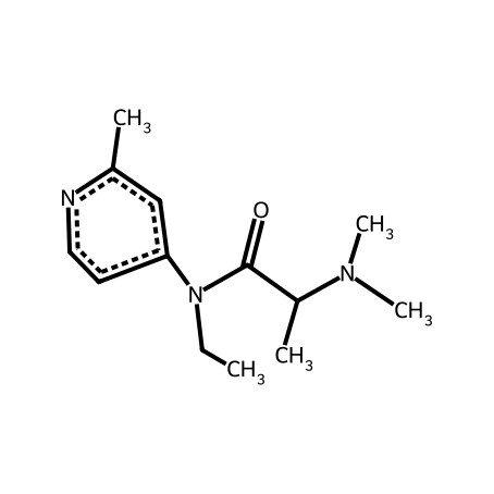 CCN(C(=O)C(C)N(C)C)c1ccnc(C)c1